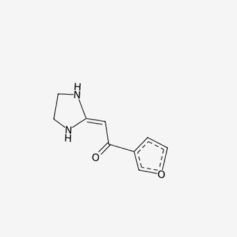 O=C(C=C1NCCN1)c1ccoc1